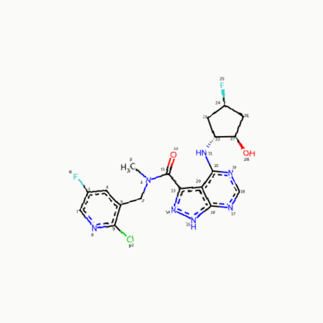 CN(Cc1cc(F)cnc1Cl)C(=O)c1n[nH]c2ncnc(N[C@@H]3C[C@@H](F)C[C@H]3O)c12